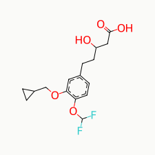 O=C(O)CC(O)CCc1ccc(OC(F)F)c(OCC2CC2)c1